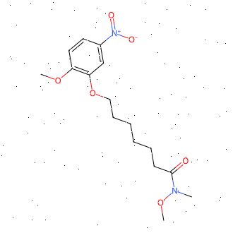 COc1ccc([N+](=O)[O-])cc1OCCCCCCC(=O)N(C)OC